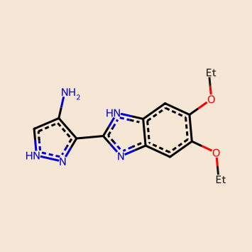 CCOc1cc2nc(-c3n[nH]cc3N)[nH]c2cc1OCC